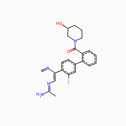 C=N/C(=C\N=C(/C)N)c1ccc(-c2ccccc2C(=O)N2CCC[C@H](O)C2)cc1F